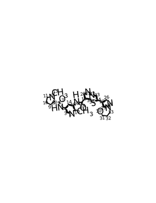 Cc1ncc(NC(=O)[C@@H]2CCCN2C)cc1NC(=O)c1cnn2cc(-c3cnn4c3OCCC4)sc12